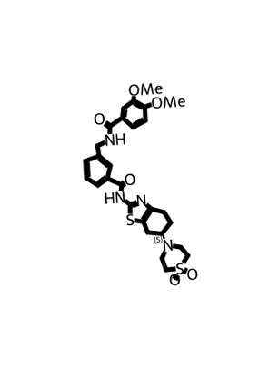 COc1ccc(C(=O)NCc2cccc(C(=O)Nc3nc4c(s3)C[C@@H](N3CCS(=O)(=O)CC3)CC4)c2)cc1OC